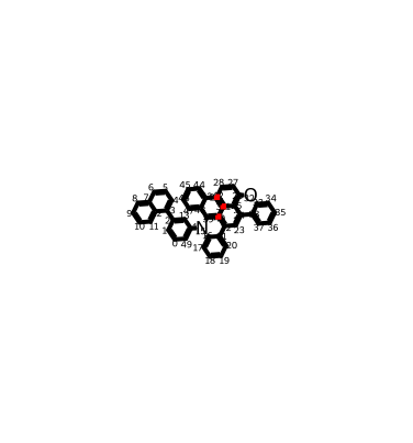 c1cc(-c2cccc3ccccc23)cc(N(c2ccccc2-c2cc3c4c(cccc4c2)Oc2ccccc2-3)c2cccc3ccccc23)c1